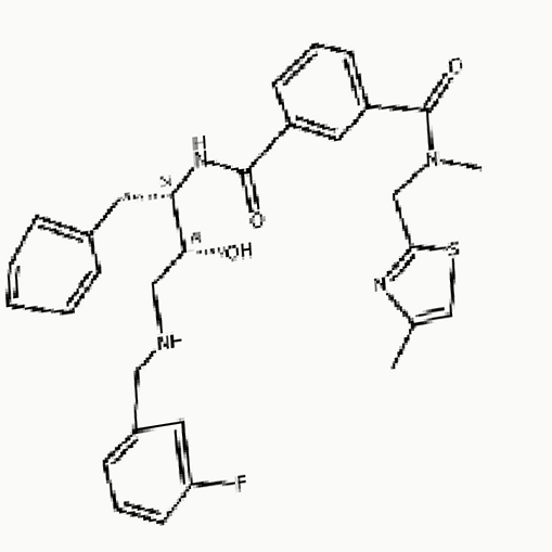 Cc1csc(CN(C)C(=O)c2cccc(C(=O)N[C@@H](Cc3ccccc3)[C@H](O)CNCc3cccc(F)c3)c2)n1